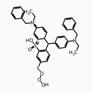 CCN(Cc1ccccc1)c1ccc(C(c2ccc(SOOO)cc2S(=O)(=O)O)C2C=CC(=[N+](CC)Cc3ccccc3)C=C2)cc1